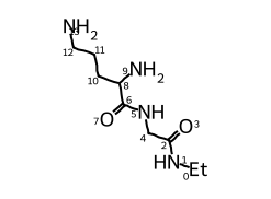 CCNC(=O)CNC(=O)C(N)CCCN